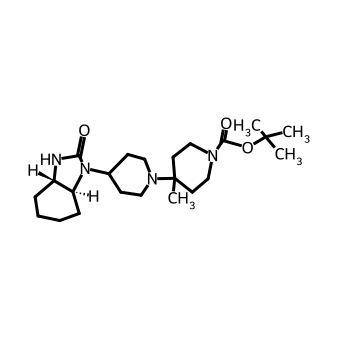 CC(C)(C)OC(=O)N1CCC(C)(N2CCC(N3C(=O)N[C@H]4CCCC[C@@H]43)CC2)CC1